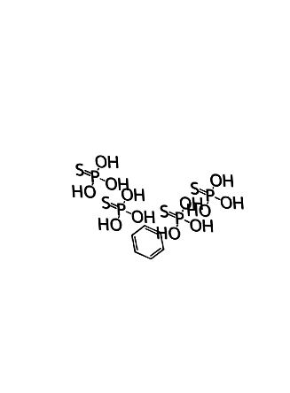 OP(O)(O)=S.OP(O)(O)=S.OP(O)(O)=S.OP(O)(O)=S.c1ccccc1